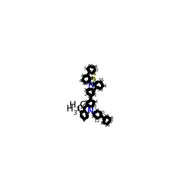 CC1(C)c2ccccc2N(c2ccc(-c3ccccc3)cc2)c2ccc(-c3ccc4c(c3)c3ccccc3n4-c3cccc4c3sc3ccccc34)cc21